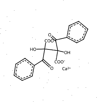 O=C([O-])C(O)(C(=O)c1ccccc1)C(O)(C(=O)[O-])C(=O)c1ccccc1.[Ca+2]